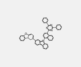 C1=C(c2ccc3c4ccccc4n(-c4ccc(-c5nc(-c6ccccc6)nc(-c6ccccc6)n5)c5ccccc45)c3c2)CC2C(=C1)Oc1ccccc12